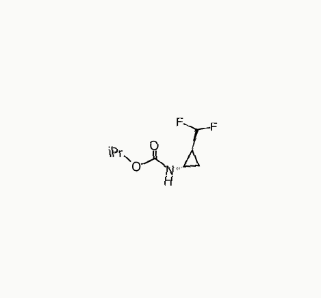 CC(C)OC(=O)N[C@H]1C[C@@H]1C(F)F